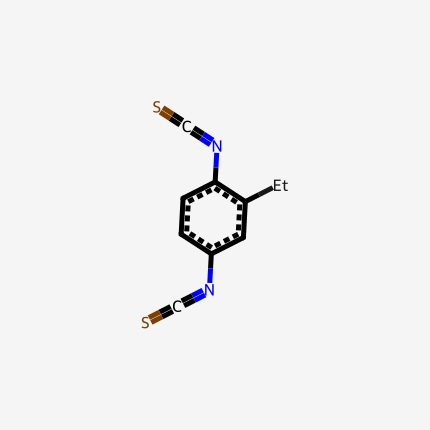 CCc1cc(N=C=S)ccc1N=C=S